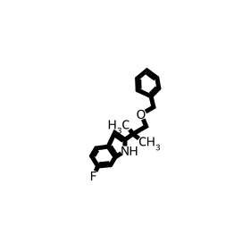 CC(C)(COCc1ccccc1)c1cc2ccc(F)cc2[nH]1